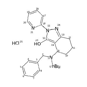 CCCCN(Cc1ccccc1)C1CCCc2nn(-c3ccccn3)c(O)c21.Cl